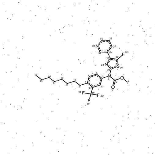 [CH2]OC(=O)N(c1ccc(CCCCCCCC)c(C(F)(F)F)c1)c1nc(-c2cccnc2)c(F)s1